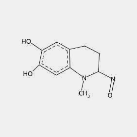 CN1c2cc(O)c(O)cc2CCC1N=O